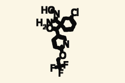 N/C(=N\O)C1(C(=O)c2ccc(OCC(F)(F)F)nc2)C=CC=C(Cl)C1